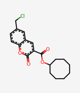 O=C(OC1CCCCCCC1)c1cc2cc(CCl)ccc2oc1=O